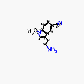 Cn1cc(CCN)c2cc(C#N)ccc21